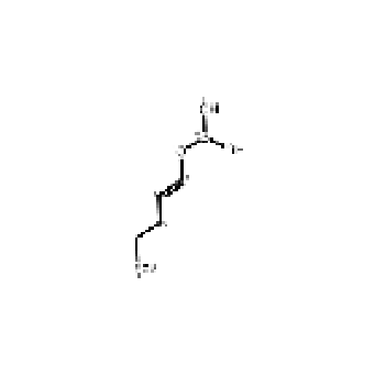 CCCCCCC=COB(O)O